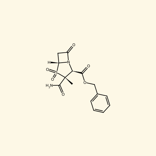 C[C@]1(C(N)=O)[C@H](C(=O)OCc2ccccc2)N2C(=O)C[C@H]2S1(=O)=O